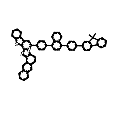 CC1(C)c2ccccc2-c2ccc(-c3ccc(-c4ccc(-c5ccc(-c6cc7c8ccccc8sc7c7nc8c9cc%10ccccc%10cc9ccc8n67)cc5)c5ccccc45)cc3)cc21